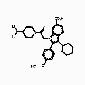 CCN(CC)C1CCN(C(=O)Cn2c(-c3ccc(Cl)cc3)c(C3CCCCC3)c3ccc(C(=O)O)cc32)CC1.Cl